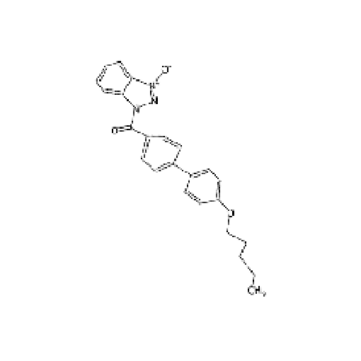 CCCCCOc1ccc(-c2ccc(C(=O)n3n[n+]([O-])c4ccccc43)cc2)cc1